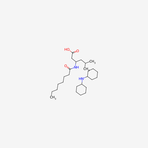 C1CCC(NC2CCCCC2)CC1.CCCCCCCC(=O)NC(CC(=O)O)CC(C)C